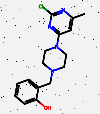 Cc1cc(N2CCN(Cc3ccccc3O)CC2)nc(Cl)n1